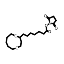 O=C(CCCCCCC1CCCCCCCCC1)ON1C(=O)CCC1=O